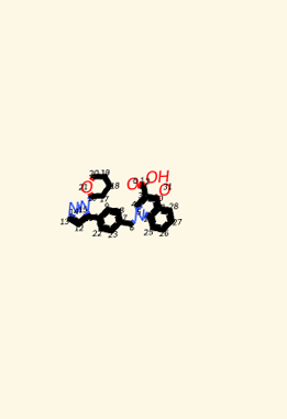 O=C(O)c1cn(Cc2ccc(-c3ccnn3C3CCCCO3)cc2)c2ccccc2c1=O